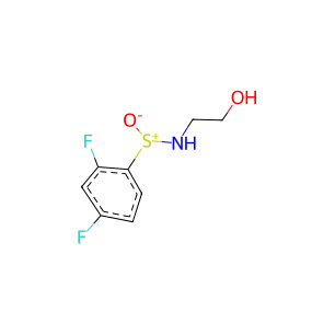 [O-][S+](NCCO)c1ccc(F)cc1F